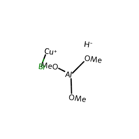 C[O][Al]([O]C)[O]C.[Cu+][Br].[H-]